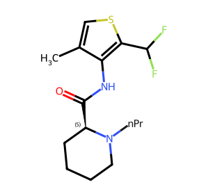 CCCN1CCCC[C@H]1C(=O)Nc1c(C)csc1C(F)F